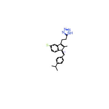 CC1=C(CCc2nnn[nH]2)c2cc(F)ccc2/C1=C\c1ccc(C(C)C)cc1